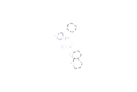 OC(CC1c2ccccc2-c2cncn21)c1ccc2cccnc2n1